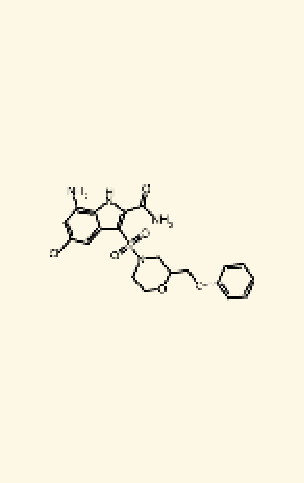 NC(=O)c1[nH]c2c(N)cc(Cl)cc2c1S(=O)(=O)N1CCOC(COc2ccccc2)C1